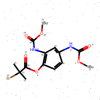 CC(C)(C)OC(=O)Nc1ccc(OC(=O)C(C)(C)Br)c(NC(=O)OC(C)(C)C)c1